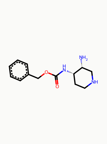 N[C@@H]1CNCC[C@@H]1NC(=O)OCc1ccccc1